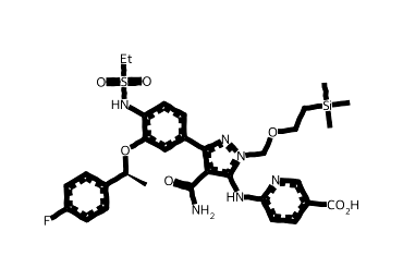 CCS(=O)(=O)Nc1ccc(-c2nn(COCC[Si](C)(C)C)c(Nc3ccc(C(=O)O)cn3)c2C(N)=O)cc1O[C@@H](C)c1ccc(F)cc1